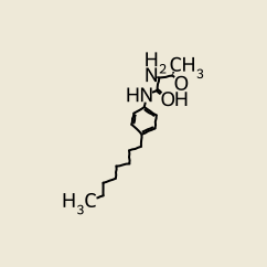 CCCCCCCCc1ccc(NC(=O)[C@H](N)[C@H](C)O)cc1